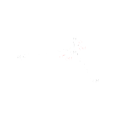 CCCCCCCCCCCCC(C)(SC(C)(CCCCCCCCCCCC)C(=O)O)C(=O)O